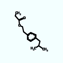 CCC(=O)OCCc1ccc(CC(C)C)cc1